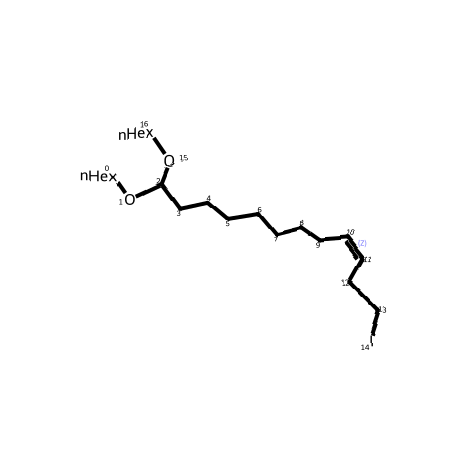 CCCCCCOC(CCCCCCC/C=C\CCI)OCCCCCC